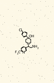 NCC(c1ccc(C(F)(F)F)nc1)N1CCC(O)(c2ccc(Cl)cc2)CC1